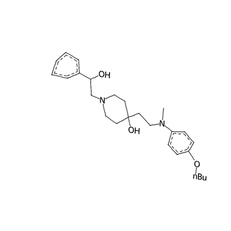 CCCCOc1ccc(N(C)CCC2(O)CCN(CC(O)c3ccccc3)CC2)cc1